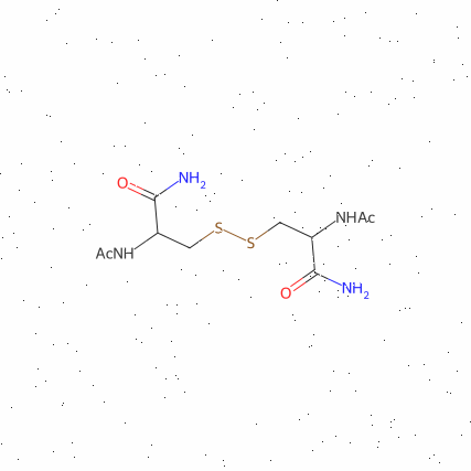 CC(=O)NC(CSSCC(NC(C)=O)C(N)=O)C(N)=O